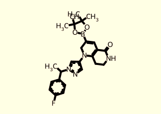 CC(c1ccc(F)cc1)n1cc(N2CC(B3OC(C)(C)C(C)(C)O3)=CC3=C2CCNC3=O)cn1